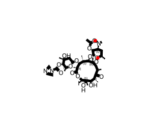 CO[C@]1(C)C[C@@H](C)C(=O)[C@H](C)[C@@H](O)[C@](C)(O)[C@@H](I)OC(=O)[C@H](C)[C@@H](OC2C[C@@](C)(O)[C@@H](OC(=O)n3ccnc3)[C@H](C)O2)[C@H](C)[C@H]1OC1O[C@H](C)C[C@H](N(C)C)[C@H]1OC(C)=O